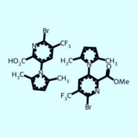 COC(=O)c1nc(Br)c(C(F)(F)F)cc1-n1c(C)ccc1C.Cc1ccc(C)n1-c1cc(C(F)(F)F)c(Br)nc1C(=O)O